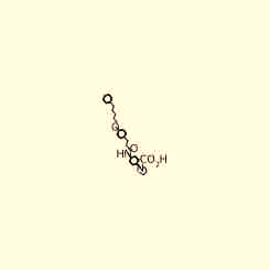 O=C(CCc1ccc(OCCCCCc2ccccc2)cc1)Nc1ccc(N2CCCC2)c(C(=O)O)c1